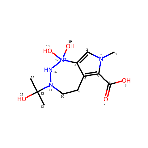 Cn1cc2c(c1C(=O)O)CCN(C(C)(C)O)N[N+]2(O)O